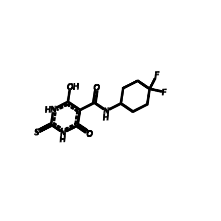 O=C(NC1CCC(F)(F)CC1)c1c(O)[nH]c(=S)[nH]c1=O